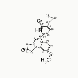 CSc1ccc(/C(=C\[C@H]2CCC(=O)C2)c2ccc(C3CC3)c(=O)[nH]2)cc1